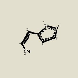 N#C/C=C\c1ccon1